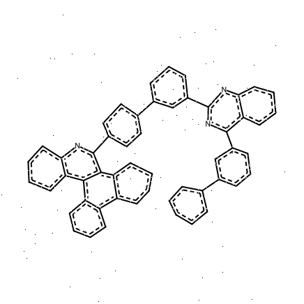 c1ccc(-c2cccc(-c3nc(-c4cccc(-c5ccc(-c6nc7ccccc7c7c8ccccc8c8ccccc8c67)cc5)c4)nc4ccccc34)c2)cc1